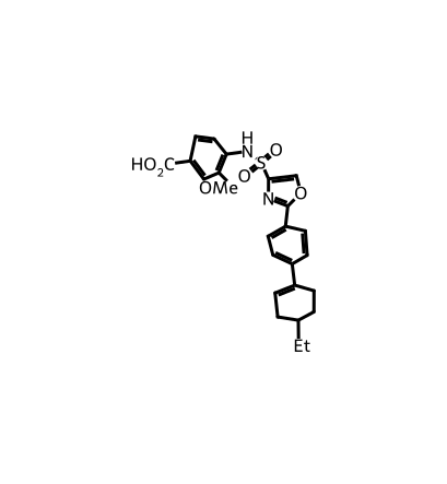 CCC1CC=C(c2ccc(-c3nc(S(=O)(=O)Nc4ccc(C(=O)O)cc4OC)co3)cc2)CC1